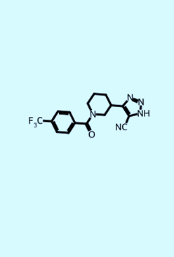 N#Cc1[nH]nnc1C1CCCN(C(=O)c2ccc(C(F)(F)F)cc2)C1